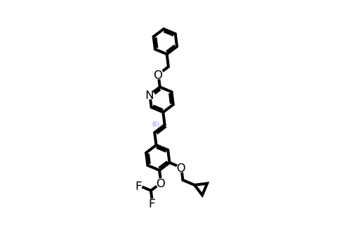 FC(F)Oc1ccc(/C=C/c2ccc(OCc3ccccc3)nc2)cc1OCC1CC1